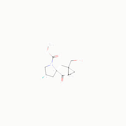 COC(=O)[C@@]1(CC2(CO)CC2)C[C@@H](F)CN1C(=O)OC(C)(C)C